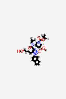 COC(=O)[C@@H]1C[C@H](N(CC(C)C)C(=O)c2nnn(-c3ccc4c(c3)CCC4)c2CCCCO)CN(C(=O)OC(C)(C)C)C1